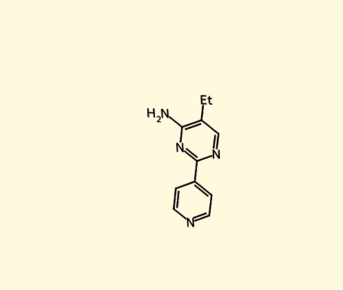 CCc1cnc(-c2ccncc2)nc1N